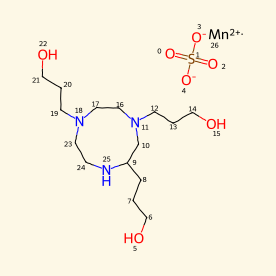 O=S(=O)([O-])[O-].OCCCC1CN(CCCO)CCN(CCCO)CCN1.[Mn+2]